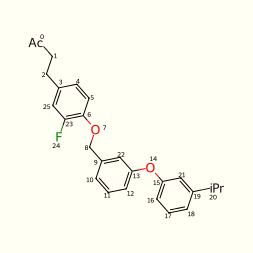 CC(=O)CCc1ccc(OCc2cccc(Oc3cccc(C(C)C)c3)c2)c(F)c1